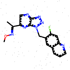 CON=C(C)c1cnc2nnn(Cc3cc4cccnc4cc3F)c2n1